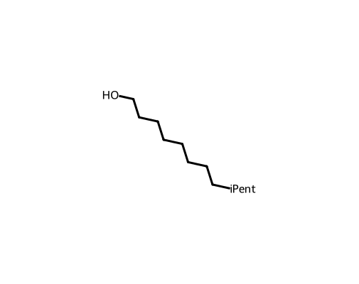 CCCC(C)CCCCCCCCO